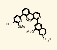 COc1cc(-c2nccc(-c3cccc(-c4ccc(C=O)c(OC)n4)c3Cl)c2Cl)cc2c1CN(C(=O)O)CC2